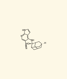 N#Cc1cnc2[nH]ccc2c1N[C@]1(O)C2CC3CC1C[C@H](C3)C2